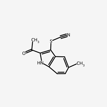 CC(=O)c1[nH]c2ccc(C)cc2c1SC#N